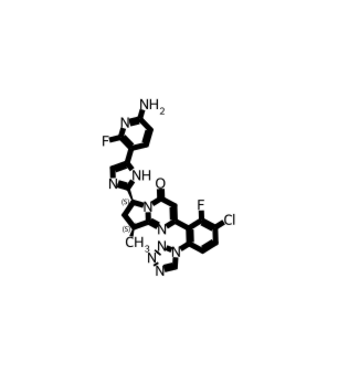 C[C@H]1C[C@@H](c2ncc(-c3ccc(N)nc3F)[nH]2)n2c1nc(-c1c(-n3cnnn3)ccc(Cl)c1F)cc2=O